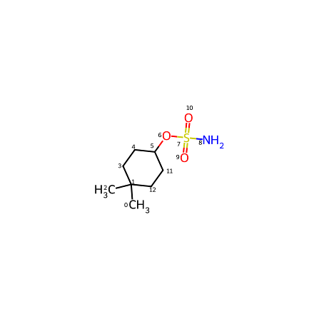 CC1(C)CCC(OS(N)(=O)=O)CC1